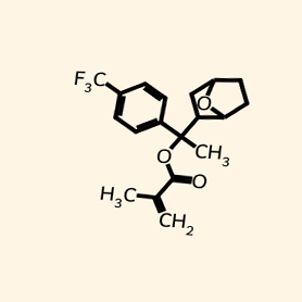 C=C(C)C(=O)OC(C)(c1ccc(C(F)(F)F)cc1)C1CC2CCC1O2